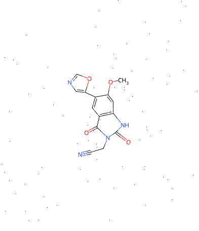 COc1cc2[nH]c(=O)n(CC#N)c(=O)c2cc1-c1cnco1